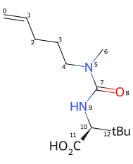 C=CCCCN(C)C(=O)N[C@H](C(=O)O)C(C)(C)C